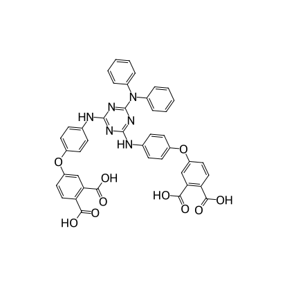 O=C(O)c1ccc(Oc2ccc(Nc3nc(Nc4ccc(Oc5ccc(C(=O)O)c(C(=O)O)c5)cc4)nc(N(c4ccccc4)c4ccccc4)n3)cc2)cc1C(=O)O